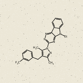 CCn1c2ccccc2c2nnc(-n3nc(C)c(Cc4cccc(C(F)(F)F)c4)c3C)nc21